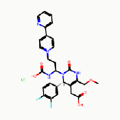 COCC1=C(CC(=O)O)[C@H](c2ccc(F)c(F)c2)N(C(CC[n+]2ccc(-c3ccccn3)cc2)NC(=O)O)C(=O)N1.[Cl-]